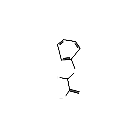 O=C(O)C(F)Sc1ccccc1